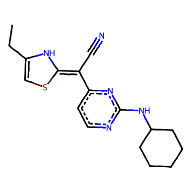 CCC1=CSC(=C(C#N)c2ccnc(NC3CCCCC3)n2)N1